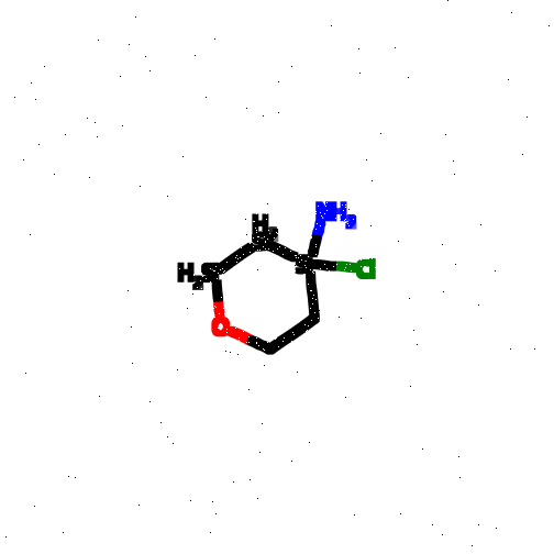 N[Si]1(Cl)CCO[SiH2][SiH2]1